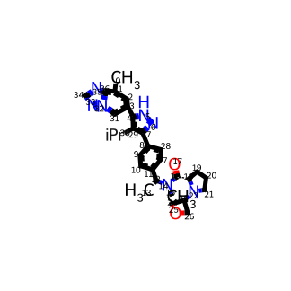 Cc1cc(-c2[nH]nc(-c3ccc(C(C)N(C)C(=O)[C@@H]4CCCN4C4COC4)cc3)c2C(C)C)cn2ncnc12